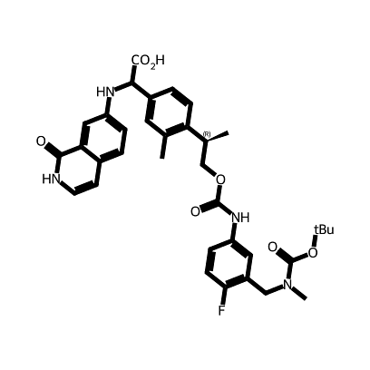 Cc1cc(C(Nc2ccc3cc[nH]c(=O)c3c2)C(=O)O)ccc1[C@@H](C)COC(=O)Nc1ccc(F)c(CN(C)C(=O)OC(C)(C)C)c1